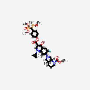 CCOP(CC)C(c1ccc(OC(=O)c2cn(C3CC3)c3c(OC)c(N4C[C@@H]5CCCN(C(=O)OC(C)(C)C)[C@@H]5C4)c(F)cc3c2=O)cc1)P(=O)(OCC)OCC